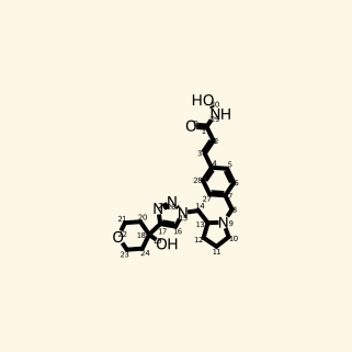 O=C(C=Cc1ccc(CN2CCCC2Cn2cc(C3(O)CCOCC3)nn2)cc1)NO